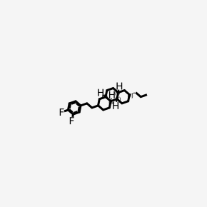 CCC[C@@H]1CC[C@H]2[C@H](CC[C@H]3CC(CCc4ccc(F)c(F)c4)CC[C@@H]32)C1